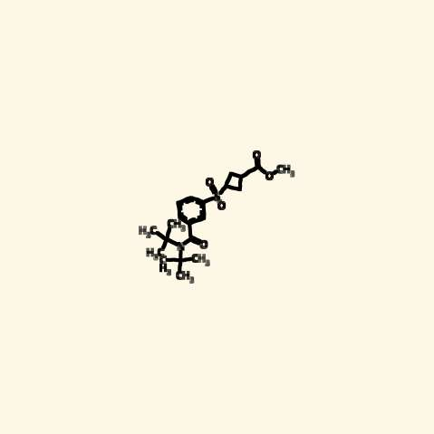 COC(=O)C1CC(S(=O)(=O)c2cccc(C(=O)N(C(C)(C)C)C(C)(C)C)c2)C1